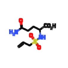 C=CCS(=O)(=O)NC(CCC(N)=O)C(=O)O